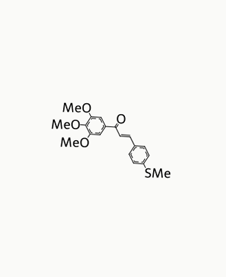 COc1cc(C(=O)C=Cc2ccc(SC)cc2)cc(OC)c1OC